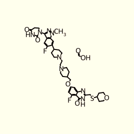 Cn1nc(N2CCC(=O)NC2=O)c2cc(F)c(C3CCN(CCN4CCC(COc5cc(F)c6c(=O)[nH]c(CSC7CCOCC7)nc6c5)CC4)CC3)cc21.O=CO